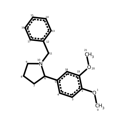 COc1ccc(C2CCCN2Cc2ccccc2)cc1OC